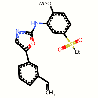 C=Cc1cccc(-c2cnc(Nc3cc(S(=O)(=O)CC)ccc3OC)o2)c1